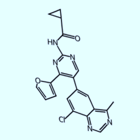 Cc1ncnc2c(Cl)cc(-c3cnc(NC(=O)C4CC4)nc3-c3ccco3)cc12